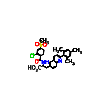 Cc1cc(C)c(-c2ccc3cc(CC(NC(=O)c4ccc(S(C)(=O)=O)cc4Cl)C(=O)O)ccc3n2)c(C)c1